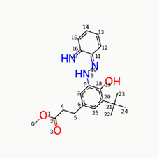 COC(=O)CCc1cc(N/N=C2/C=CC=CC2=N)c(O)c(C(C)(C)C)c1